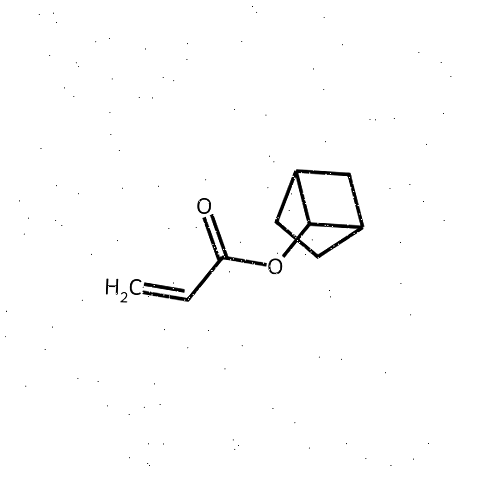 C=CC(=O)OC1C2CCC1C2